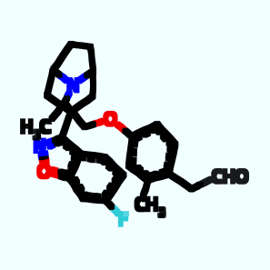 Cc1cc(OCC(C)N2C3CCC2CC(c2noc4cc(F)ccc24)C3)ccc1CC=O